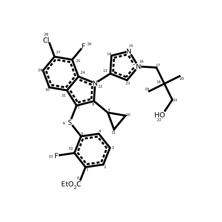 CCOC(=O)c1cccc(Sc2c(C3CC3)n(-c3cnn(CC(C)(C)CO)c3)c3c(F)c(Cl)ccc23)c1F